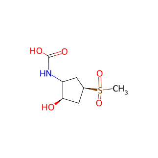 CS(=O)(=O)[C@@H]1CC(NC(=O)O)[C@H](O)C1